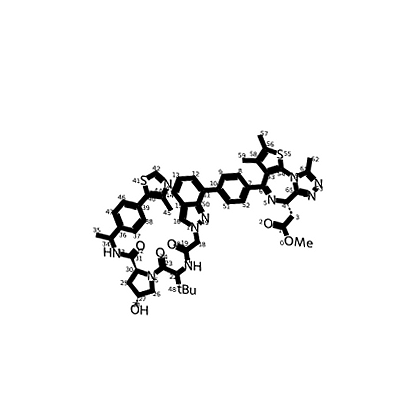 COC(=O)C[C@@H]1N=C(c2ccc(-c3cccc4cn(CC(=O)NC(C(=O)N5C[C@H](O)C[C@H]5C(=O)NC(C)c5ccc(-c6scnc6C)cc5)C(C)(C)C)nc34)cc2)c2c(sc(C)c2C)-n2c(C)nnc21